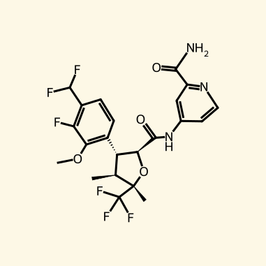 COc1c([C@@H]2[C@@H](C(=O)Nc3ccnc(C(N)=O)c3)O[C@](C)(C(F)(F)F)[C@H]2C)ccc(C(F)F)c1F